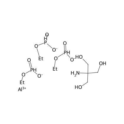 CCO[PH](=O)[O-].CCO[PH](=O)[O-].CCO[PH](=O)[O-].NC(CO)(CO)CO.[Al+3]